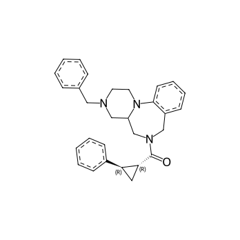 O=C([C@@H]1C[C@H]1c1ccccc1)N1Cc2ccccc2N2CCN(Cc3ccccc3)CC2C1